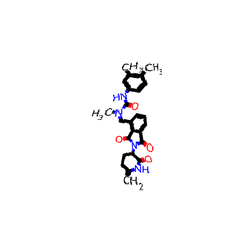 C=C1CCC(N2C(=O)c3cccc(CN(C)C(=O)Nc4ccc(C)c(C)c4)c3C2=O)C(=O)N1